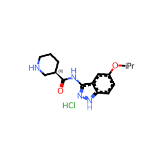 CC(C)Oc1ccc2[nH]nc(NC(=O)[C@@H]3CCCNC3)c2c1.Cl